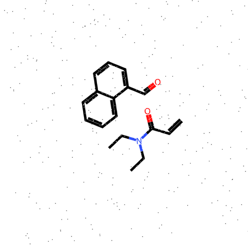 C=CC(=O)N(CC)CC.O=Cc1cccc2ccccc12